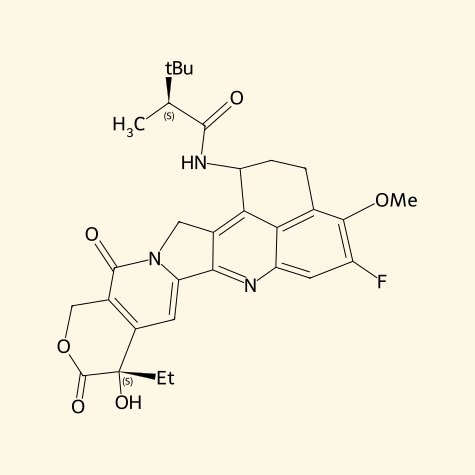 CC[C@@]1(O)C(=O)OCc2c1cc1n(c2=O)Cc2c-1nc1cc(F)c(OC)c3c1c2C(NC(=O)[C@@H](C)C(C)(C)C)CC3